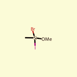 CO[Si](C)(Br)I